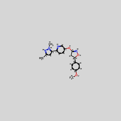 Cc1cc(-c2ccc(OC3=NO[C@@H](c4ccc(OC(F)(F)F)cc4)C3)cn2)n(C)n1